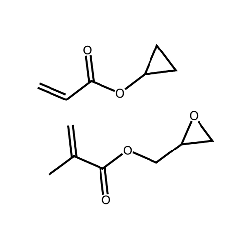 C=C(C)C(=O)OCC1CO1.C=CC(=O)OC1CC1